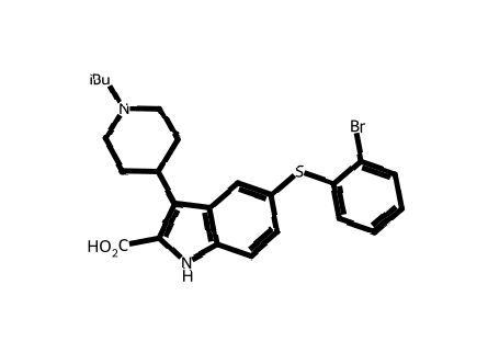 CCC(C)N1CCC(c2c(C(=O)O)[nH]c3ccc(Sc4ccccc4Br)cc23)CC1